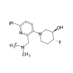 CC(C)c1ccc(N2CC[C@@H](F)[C@H](O)C2)c(CN(C)C)n1